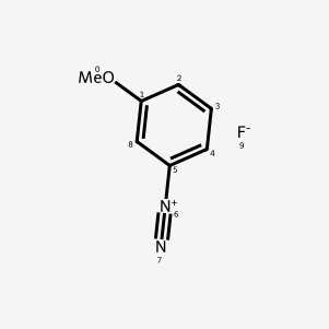 COc1cccc([N+]#N)c1.[F-]